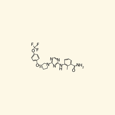 Cc1c(Nc2ncnc(N3CC[C@@H](Oc4ccc(OC(F)(F)F)cc4)C3)n2)cccc1C(N)=O